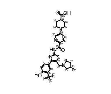 COc1ccc(-c2nc(NC(=O)c3cnc(N4CCC(C(=O)O)CC4)cn3)sc2CN2CC[C@@H](F)C2)cc1C(F)(F)F